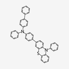 c1ccc(-c2ccc(N(c3ccccc3)c3ccc(-c4ccc5c(c4)Sc4ccccc4N5c4ccccc4)cc3)cc2)cc1